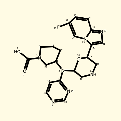 O=C(O)N1CCCC(N(c2ccncn2)C2CNCC(c3cnc4ccc(F)cn34)O2)C1